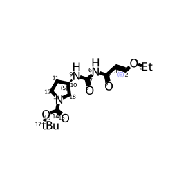 CCO/C=C/C(=O)NC(=O)N[C@H]1CCN(C(=O)OC(C)(C)C)C1